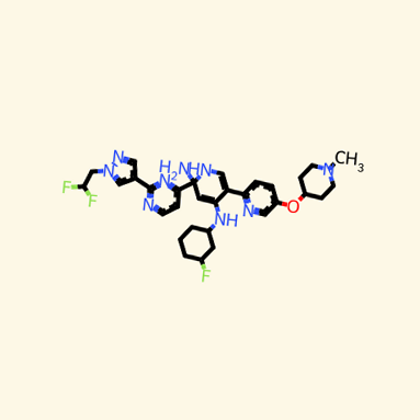 CN1CCC(Oc2ccc(C3=CNC(N)(c4ccnc(-c5cnn(CC(F)F)c5)n4)C=C3NC3CCCC(F)C3)nc2)CC1